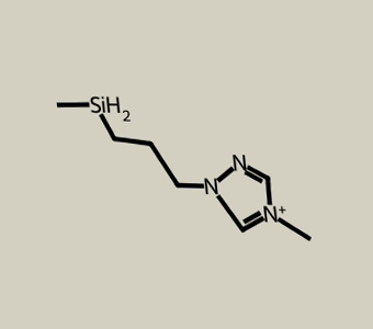 C[SiH2]CCCn1c[n+](C)cn1